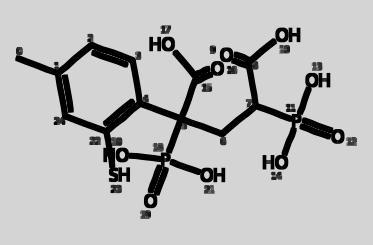 Cc1ccc(C(CC(C(=O)O)P(=O)(O)O)(C(=O)O)P(=O)(O)O)c(S)c1